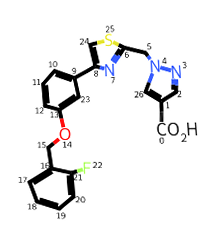 O=C(O)c1cnn(Cc2nc(-c3cccc(OCc4ccccc4F)c3)cs2)c1